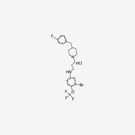 Cl.Fc1ccc(CC2CCN(CCCNc3ccc(OC(F)(F)F)c(Br)c3)CC2)cc1